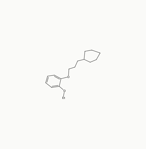 CCOc1ccccc1OCCCC1CCCCC1